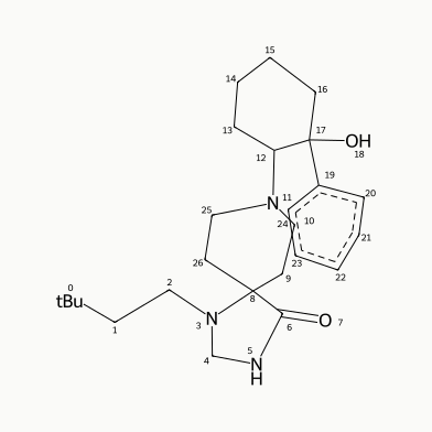 CC(C)(C)CCN1CNC(=O)C12CCN(C1CCCCC1(O)c1ccccc1)CC2